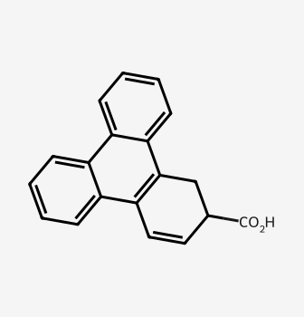 O=C(O)C1C=Cc2c(c3ccccc3c3ccccc23)C1